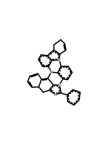 C1=CC2=C3B4c5c(cccc5-n5c6c(c7cccc4c75)CCC=C6)-n4c(-c5ccccc5)nc(c43)CC2C=C1